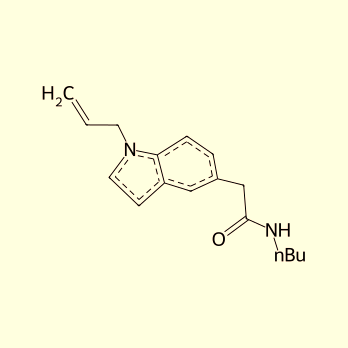 C=CCn1ccc2cc(CC(=O)NCCCC)ccc21